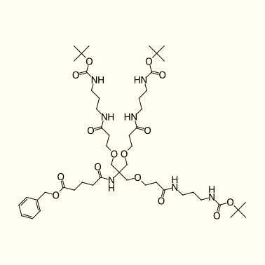 CC(C)(C)OC(=O)NCCCNC(=O)CCOCC(COCCC(=O)NCCCNC(=O)OC(C)(C)C)(COCCC(=O)NCCCNC(=O)OC(C)(C)C)NC(=O)CCCC(=O)OCc1ccccc1